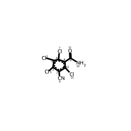 N#Cc1c(Cl)c(Cl)c(Cl)c(C(N)=O)c1Cl